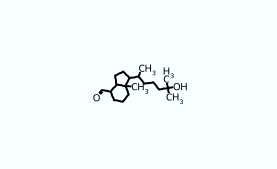 CC(CCCC(C)(C)O)C1CCC2C(C=O)CCCC12C